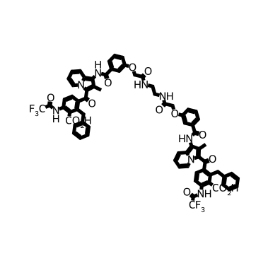 Cc1c(NC(=O)c2cccc(OCC(=O)NCCNC(=O)COc3cccc(C(=O)Nc4c(C)c(C(=O)c5ccc(NC(=O)C(F)(F)F)c(C(=O)O)c5Cc5ccccc5)n5ccccc45)c3)c2)c2ccccn2c1C(=O)c1ccc(NC(=O)C(F)(F)F)c(C(=O)O)c1Cc1ccccc1